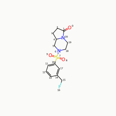 O=C1CCC2CN(S(=O)(=O)c3cccc(CF)c3)CCN12